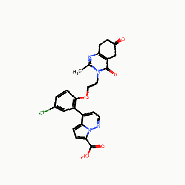 Cc1nc2c(c(=O)n1CCOc1ccc(Cl)cc1-c1ccnn3c(C(=O)O)ccc13)CC(=O)CC2